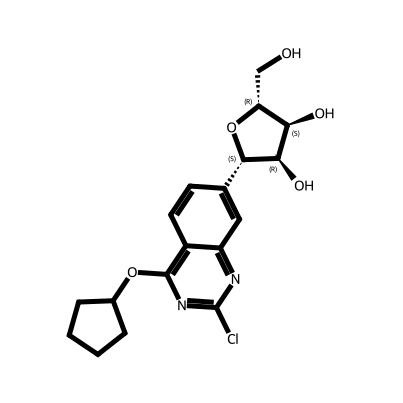 OC[C@H]1O[C@@H](c2ccc3c(OC4CCCC4)nc(Cl)nc3c2)[C@H](O)[C@@H]1O